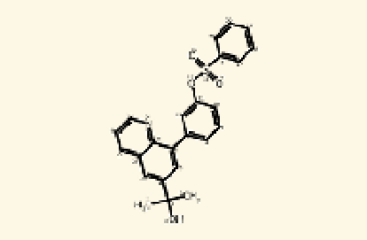 CC(C)(O)c1cc(-c2cccc(OS(=O)(=O)c3ccccc3)c2)c2ncccc2c1